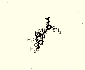 C=CC(=O)N1CCC(n2nc(C#Cc3cc(OC)cc(OCC4CC4)c3)c3c(N)ncc(C(C)=O)c32)C1